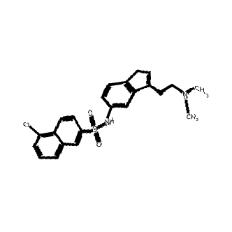 CN(C)CCC1=CCc2ccc(NS(=O)(=O)c3ccc4c(Cl)cccc4c3)cc21